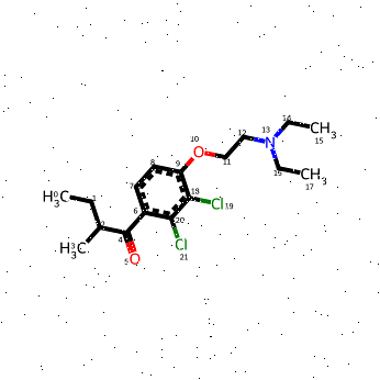 CCC(C)C(=O)c1ccc(OCCN(CC)CC)c(Cl)c1Cl